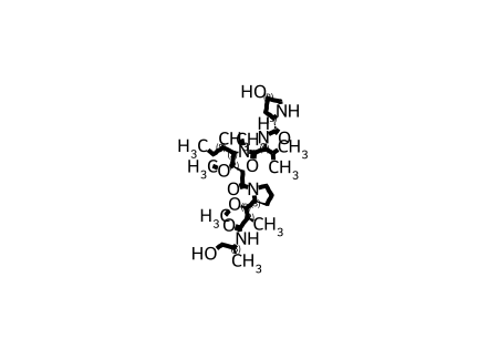 CC[C@H](C)[C@@H]([C@@H](CC(=O)N1CCC[C@H]1[C@H](OC)[C@@H](C)C(=O)N[C@@H](C)CO)OC)N(C)C(=O)[C@@H](NC(=O)[C@@H]1C[C@@H](O)CN1)C(C)C